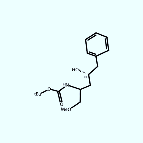 COCC(C[C@H](O)Cc1ccccc1)NC(=O)OC(C)(C)C